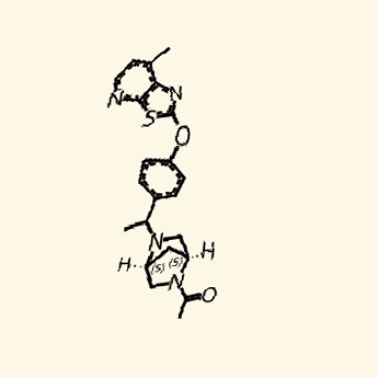 CC(=O)N1C[C@@H]2C[C@H]1CN2C(C)c1ccc(Oc2nc3c(C)ccnc3s2)cc1